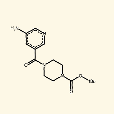 CC(C)(C)OC(=O)N1CCN(C(=O)c2cncc(N)c2)CC1